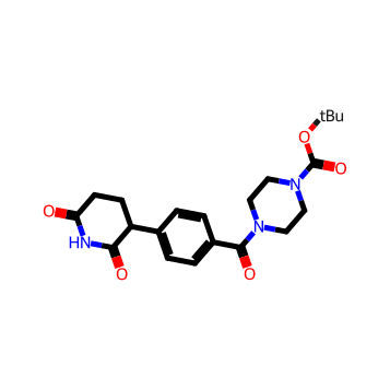 CC(C)(C)OC(=O)N1CCN(C(=O)c2ccc(C3CCC(=O)NC3=O)cc2)CC1